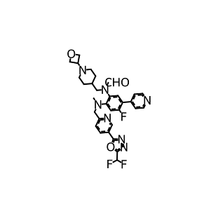 CN(Cc1ccc(-c2nnc(C(F)F)o2)cn1)c1cc(F)c(-c2ccncc2)cc1N(C=O)CC1CCN(C2COC2)CC1